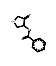 O=C(NC1CNCC1=O)c1ccccc1